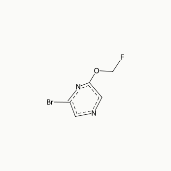 FCOc1cncc(Br)n1